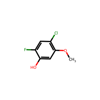 COc1cc(O)c(F)cc1Cl